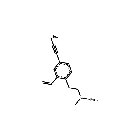 C=Cc1cc(C#CCCCCCC)ccc1CCN(C)C(C)CCC